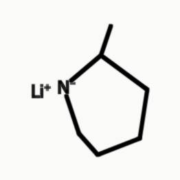 CC1CCCC[N-]1.[Li+]